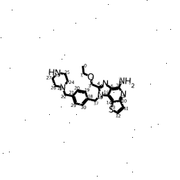 CCOCc1nc2c(N)nc3ccsc3c2n1Cc1ccc(CN2CCNCC2)cc1